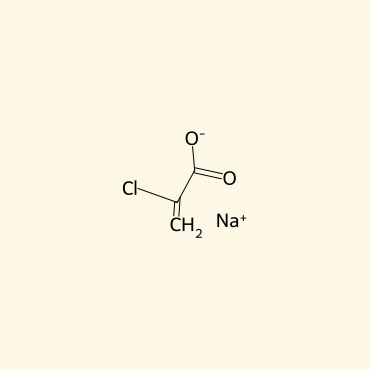 C=C(Cl)C(=O)[O-].[Na+]